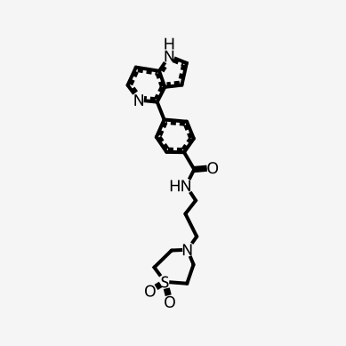 O=C(NCCCN1CCS(=O)(=O)CC1)c1ccc(-c2nccc3[nH]ccc23)cc1